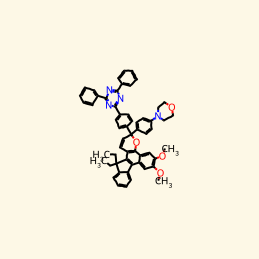 CCC1(CC)c2ccccc2-c2c1c1c(c3cc(OC)c(OC)cc23)OC(c2ccc(-c3nc(-c4ccccc4)nc(-c4ccccc4)n3)cc2)(c2ccc(N3CCOCC3)cc2)C=C1